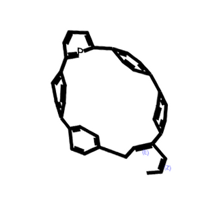 C/C=C\C1=C/Cc2ccc(cc2)-c2ccc(cc2)-c2cccc(p2)-c2ccc(cc2)-c2ccc1cc2